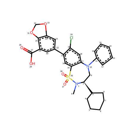 CN1[C@H](C2CCCCC2)CN(c2ccccc2)c2cc(Cl)c(-c3cc4c(c(C(=O)O)c3)OCO4)cc2S1(=O)=O